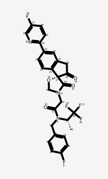 C[C@H](N(Cc1ccc(F)cc1)C(=O)CN1CO[C@]2(C(=O)Cc3cc(-c4ccc(F)cn4)ccc32)C1=O)C(F)(F)F